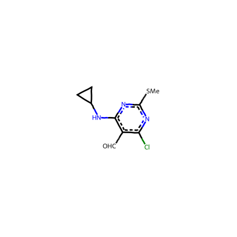 CSc1nc(Cl)c(C=O)c(NC2CC2)n1